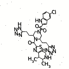 CC1NCc2sc(C(=O)N3C(CCc4nnn[nH]4)CN(S(=O)(=O)c4cc5cc(Cl)ccc5[nH]4)CC3CCc3nnn[nH]3)nc2C1C